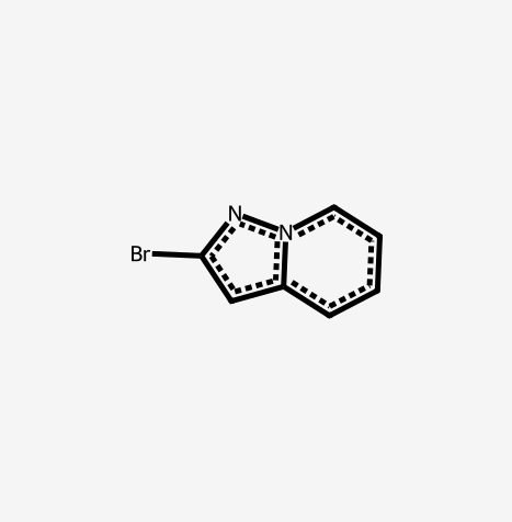 Brc1cc2ccccn2n1